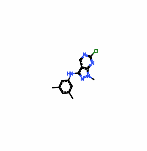 Cc1cc(C)cc(Nc2nn(C)c3nc(Cl)ncc23)c1